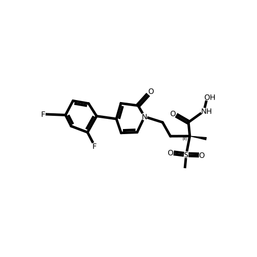 C[C@@](CCn1ccc(-c2ccc(F)cc2F)cc1=O)(C(=O)NO)S(C)(=O)=O